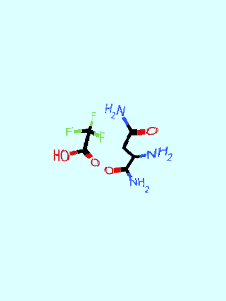 NC(=O)CC(N)C(N)=O.O=C(O)C(F)(F)F